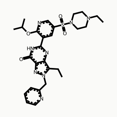 CCc1c2nc(-c3cc(S(=O)(=O)N4CCN(CC)CC4)cnc3OC(C)C)[nH]c(=O)c2nn1Cc1ccccn1